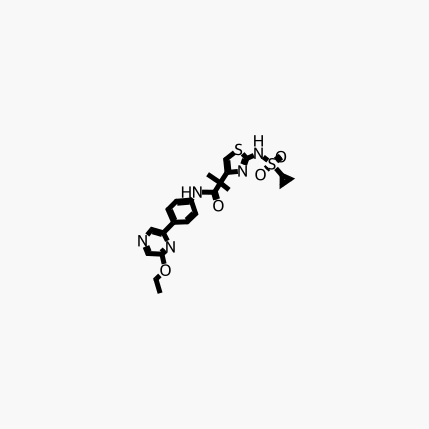 CCOc1cncc(-c2ccc(NC(=O)C(C)(C)c3csc(NS(=O)(=O)C4CC4)n3)cc2)n1